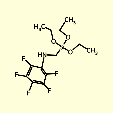 CCO[Si](CNc1c(F)c(F)c(F)c(F)c1F)(OCC)OCC